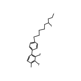 CCCC(I)CCCCCc1ccc(-c2ccc(C)c(F)c2F)cc1